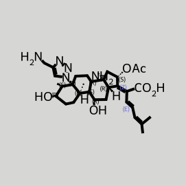 CC(=O)O[C@H]1C[C@@]2(C)[C@@H](C[C@@H](O)[C@@H]3[C@]2(N)CC[C@@]2(n4cc(CN)nn4)[C@H](C)[C@H](O)CC[C@]32C)/C1=C(\C=C\C=C(C)C)C(=O)O